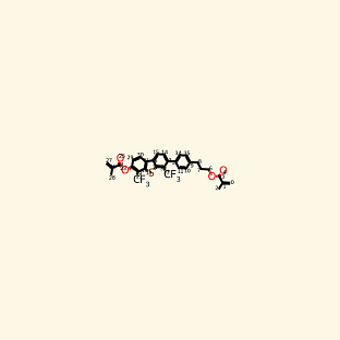 C=C(C)C(=O)OCCCc1ccc(-c2ccc3c(sc4c(C(F)(F)F)c(OC(=O)C(=C)C)ccc43)c2C(F)(F)F)cc1